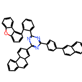 C1=CC2c3ccccc3C=CC2C=C1c1nc(-c2ccc(-c3ccc4ccccc4c3)cc2)nc(-c2ccccc2-c2cccc3oc4ccccc4c23)n1